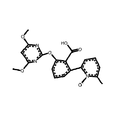 COc1cc(OC)nc(Oc2cccc(-c3cccc(C)[n+]3[O-])c2C(=O)O)n1